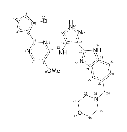 COc1cnc(-c2cscc2Cl)nc1Nc1c[nH]nc1-c1nc2cc(CN3CCOCC3)ccc2[nH]1